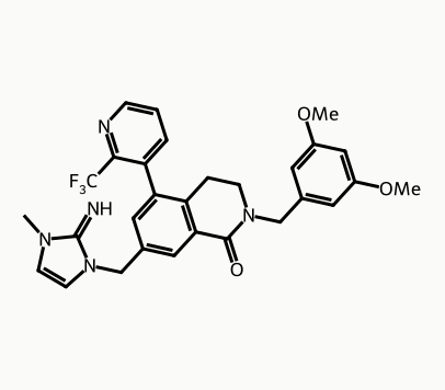 COc1cc(CN2CCc3c(cc(Cn4ccn(C)c4=N)cc3-c3cccnc3C(F)(F)F)C2=O)cc(OC)c1